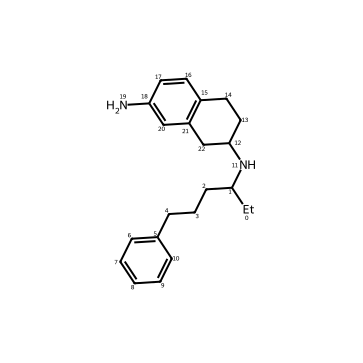 CCC(CCCc1ccccc1)NC1CCc2ccc(N)cc2C1